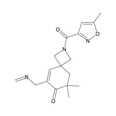 C=NCC1=CC2(CN(C(=O)c3cc(C)on3)C2)CC(C)(C)C1=O